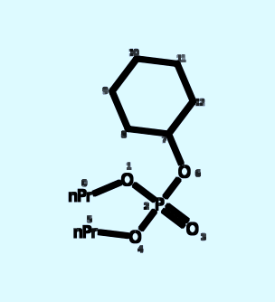 CCCOP(=O)(OCCC)OC1CCCCC1